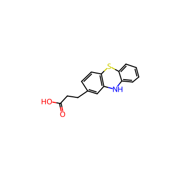 O=C(O)CCc1ccc2c(c1)Nc1ccccc1S2